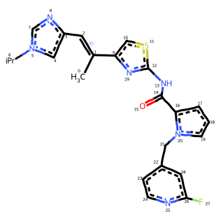 C/C(=C\c1cn(C(C)C)cn1)c1csc(NC(=O)c2cccn2Cc2ccnc(F)c2)n1